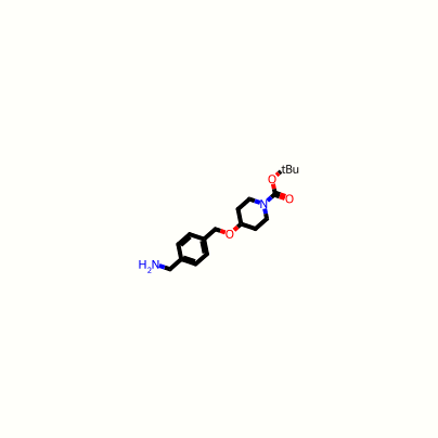 CC(C)(C)OC(=O)N1CCC(OCc2ccc(CN)cc2)CC1